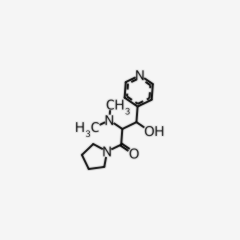 CN(C)C(C(=O)N1CCCC1)C(O)c1ccncc1